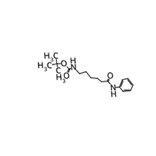 CC(C)(C)OC(=O)NCCCCCC(=O)Nc1ccccc1